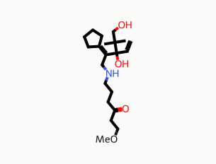 C=CC(O)(C(CNCCCC(=O)CCOC)=C1CCCC1)C(C)(C)CO